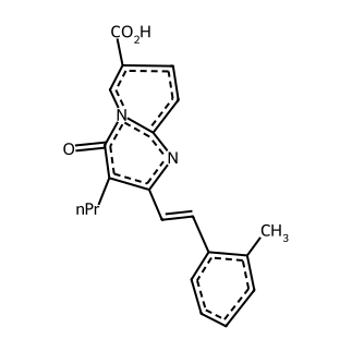 CCCc1c(/C=C/c2ccccc2C)nc2ccc(C(=O)O)cn2c1=O